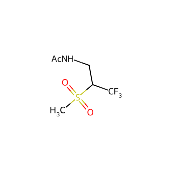 CC(=O)NCC(C(F)(F)F)S(C)(=O)=O